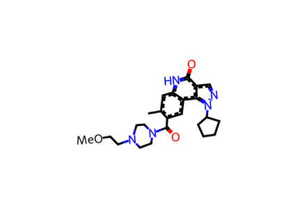 COCCN1CCN(C(=O)c2cc3c(cc2C)[nH]c(=O)c2cnn(C4CCCC4)c23)CC1